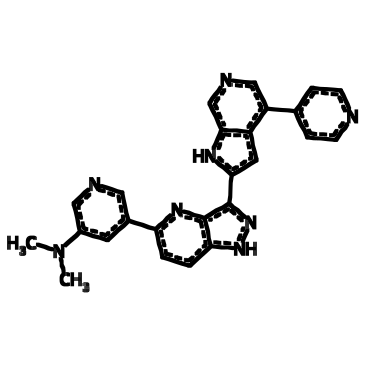 CN(C)c1cncc(-c2ccc3[nH]nc(-c4cc5c(-c6ccncc6)cncc5[nH]4)c3n2)c1